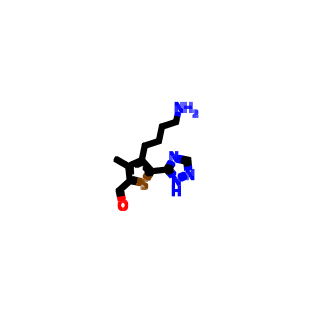 Cc1c(C=O)sc(-c2ncn[nH]2)c1CCCCN